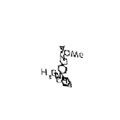 COC1(CN2CCC3(CCC(c4ccccc4)(N(C)C)CC3)C2)CC1